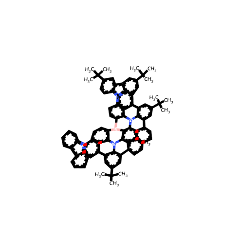 Cc1cc2c3c(c1)N(c1c(-c4ccccc4)cc(C(C)(C)C)cc1-c1ccccc1)c1cc(-n4c5ccc(C(C)(C)C)cc5c5cc(C(C)(C)C)ccc54)ccc1B3c1ccc(-n3c4ccccc4c4ccccc43)cc1N2c1c(-c2ccccc2)cc(C(C)(C)C)cc1-c1ccccc1